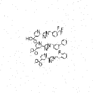 COC(=O)c1ccnc(-c2cn(CCc3ccccc3F)cn2)c1.COC(=O)c1ccnc(-c2cn(Cc3cccc(-c4ccccc4)c3)cn2)c1.O=C(O)c1ccnc(-c2cn(Cc3cccc(C(F)(F)F)c3)cn2)c1